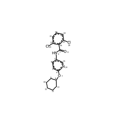 O=C(Nc1ccc(OC2CCCCC2)nc1)c1c(Cl)cccc1Cl